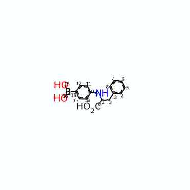 O=C(O)C(Cc1ccccc1)Nc1ccc(B(O)O)cc1